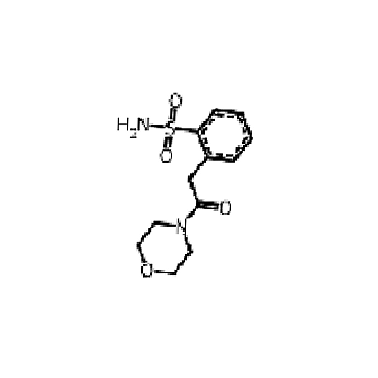 NS(=O)(=O)c1ccccc1CC(=O)N1CCOCC1